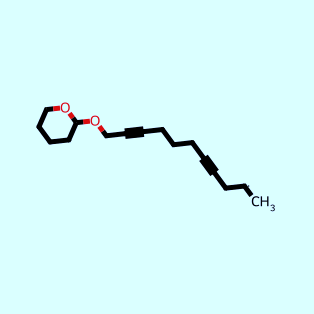 C[CH]CC#CCCCC#CCOC1CCCCO1